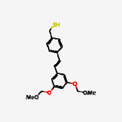 COCOc1cc(/C=C/c2ccc(CS)cc2)cc(OCOC)c1